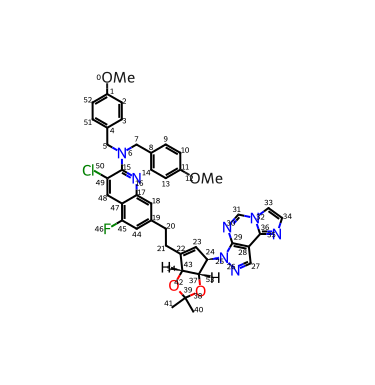 COc1ccc(CN(Cc2ccc(OC)cc2)c2nc3cc(CCC4=C[C@@H](n5ncc6c5ncn5ccnc65)[C@@H]5OC(C)(C)O[C@H]45)cc(F)c3cc2Cl)cc1